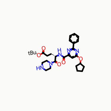 CC(C)(C)OC(=O)CC[C@H](NC(=O)c1cc(OC2CCCC2)nc(-c2ccccc2)n1)C(=O)N1CCNCC1